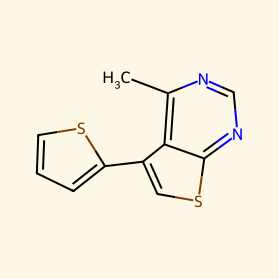 Cc1ncnc2scc(-c3cccs3)c12